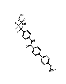 CCCCCCCCOc1ccc(-c2ccc(C(=O)Nc3ccc(C(F)(F)C(F)(F)P(=O)(O)OC(C)CC)cc3)cc2)cc1